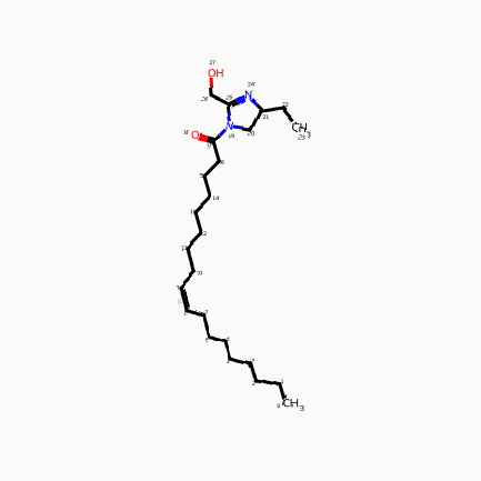 CCCCCCCC/C=C\CCCCCCCC(=O)N1CC(CC)N=C1CO